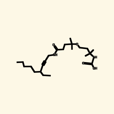 CCCCCC(C#CCNC(=O)CCC(C)(C)OCCC(C)(C)NC(=O)O)CC